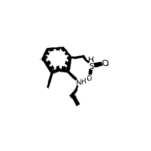 CCNc1c(C)[c]ccc1C[SH](=O)=O